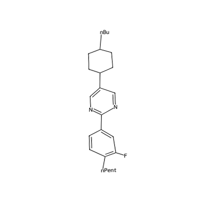 CCCCCc1ccc(-c2ncc(C3CCC(CCCC)CC3)cn2)cc1F